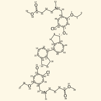 CCOc1cc(O[C@H]2CCc3c(-c4cccc5c4CC[C@@H]5Oc4cc(OCC)c(CN(C)CCCC(=O)OC)cc4Cl)cccc32)c(Cl)cc1CN(C)CCCC(=O)OC